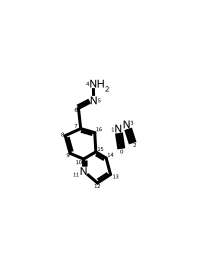 C#N.C#N.NN=Cc1ccc2ncccc2c1